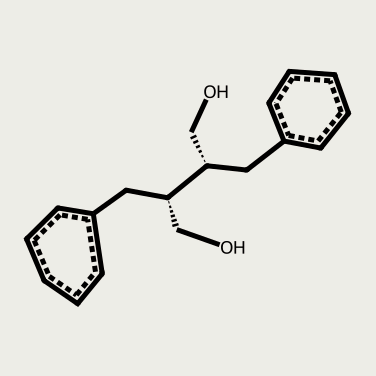 OC[C@H](Cc1ccccc1)[C@H](CO)Cc1ccccc1